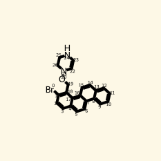 Brc1ccc2ccc3c4ccccc4ccc3c2c1CON1C=CNCC1